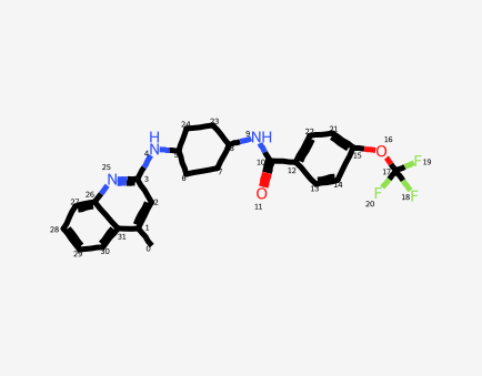 Cc1cc(NC2CCC(NC(=O)c3ccc(OC(F)(F)F)cc3)CC2)nc2ccccc12